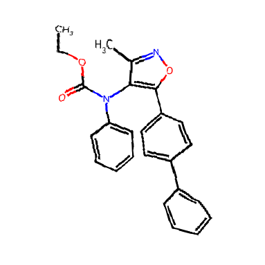 CCOC(=O)N(c1ccccc1)c1c(C)noc1-c1ccc(-c2cc[c]cc2)cc1